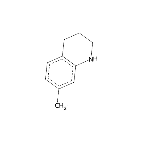 [CH2]c1ccc2c(c1)NCCC2